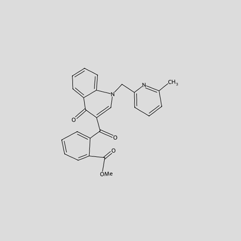 COC(=O)c1ccccc1C(=O)c1cn(Cc2cccc(C)n2)c2ccccc2c1=O